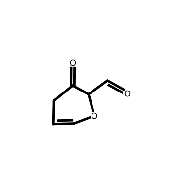 O=CC1OC=CCC1=O